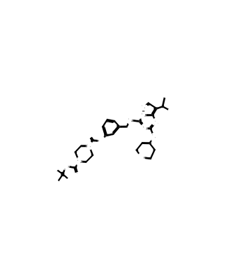 CC(C)c1cnn2c(NCc3cccc(OC(=O)N4CCN(C(=O)OC(C)(C)C)CC4)c3)nc(NC3CCOCC3)nc12